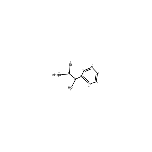 CCCCCCCC(CC)C(O)c1cnccn1